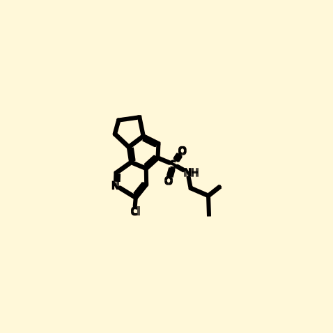 CC(C)CNS(=O)(=O)c1cc2c(c3cnc(Cl)cc13)CCC2